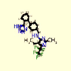 CCc1c(NCc2ccc(-c3ccccc3-c3nnn[nH]3)cc2)nc(C)nc1C(F)(F)C(F)(F)F